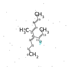 C=CC/C=C(C(/C)=C/C=C/C)\C(F)=C/C